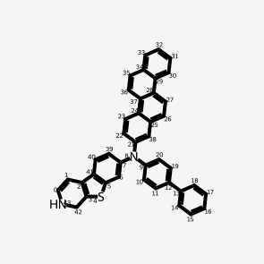 C1=Cc2c(sc3cc(N(c4ccc(-c5ccccc5)cc4)c4ccc5c(ccc6c7ccccc7ccc56)c4)ccc23)CN1